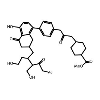 COC(=O)C1CCC(CC(=O)Cc2ccc(-c3ccc(O)c4c3CC(CC(CCO)C(CO)C(=O)CC(C)=O)CC4=O)cc2)CC1